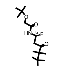 CC(C)(C)OCC(=O)N[C@@H](F)CC(=O)C(C)(C)C(C)(C)C